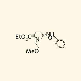 CCOC(=O)[C@@H]1CC[C@@H](NOCc2ccccc2)CN1CCOC